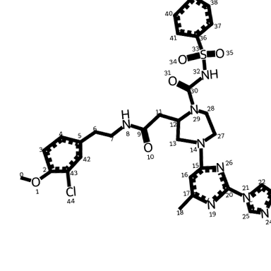 COc1ccc(CCNC(=O)CC2CN(c3cc(C)nc(-n4ccnc4)n3)CCN2C(=O)NS(=O)(=O)c2ccccc2)cc1Cl